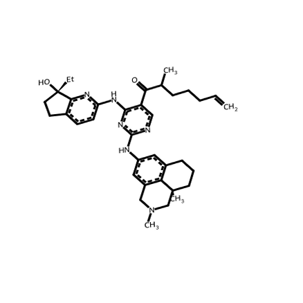 C=CCCCC(C)C(=O)c1cnc(Nc2cc3c4c(c2)CN(C)C[C@@]4(C)CCC3)nc1Nc1ccc2c(n1)[C@](O)(CC)CC2